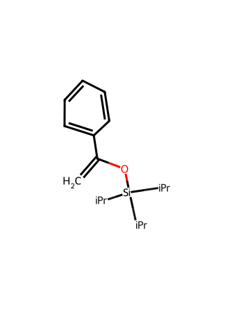 C=C(O[Si](C(C)C)(C(C)C)C(C)C)c1ccccc1